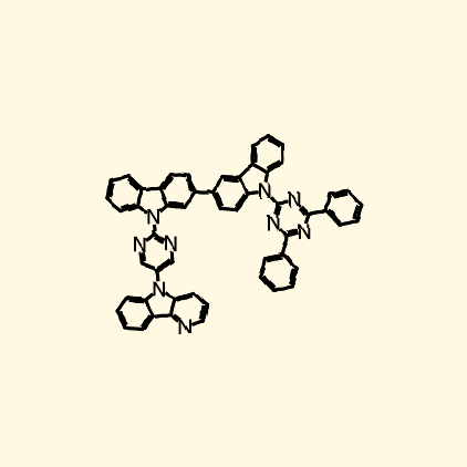 c1ccc(-c2nc(-c3ccccc3)nc(-n3c4ccccc4c4cc(-c5ccc6c7ccccc7n(-c7ncc(-n8c9ccccc9c9ncccc98)cn7)c6c5)ccc43)n2)cc1